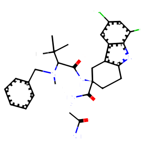 CC[C@H](C)[C@H](NC(=O)[C@@]1(NC(=O)C(N(Cc2ccccc2)C(=O)O)C(C)(C)CC)CCc2[nH]c3c(Cl)cc(Cl)cc3c2C1)C(N)=O